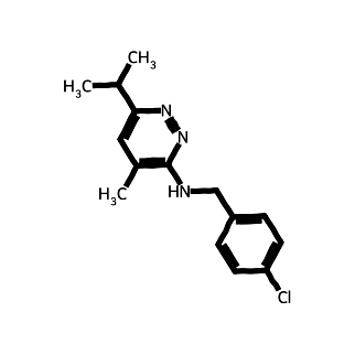 Cc1cc(C(C)C)nnc1NCc1ccc(Cl)cc1